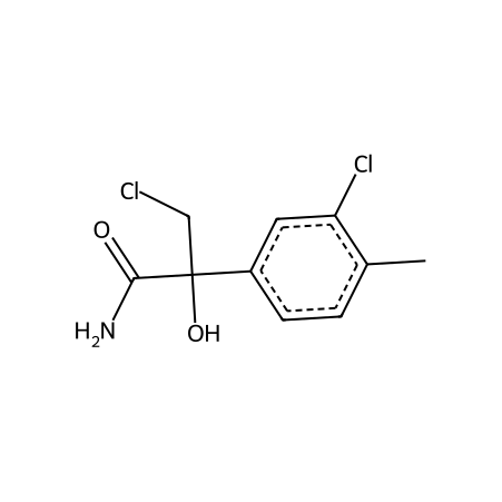 Cc1ccc(C(O)(CCl)C(N)=O)cc1Cl